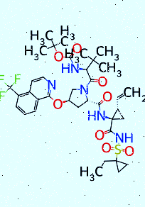 C=C[C@@H]1C[C@]1(NC(=O)[C@@H]1C[C@@H](Oc2nccc3c(C(F)(F)F)cccc23)CN1C(=O)[C@@H](NC(=O)OC(C)(C)C)C(C)(C)C)C(=O)NS(=O)(=O)C1(CC)CC1